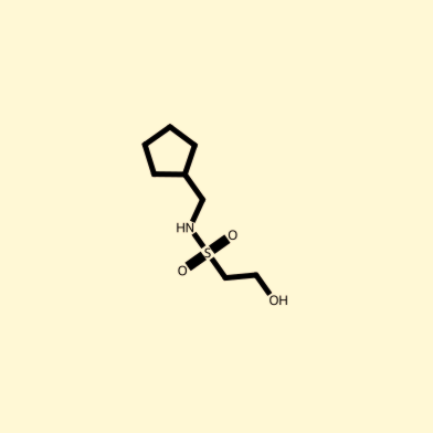 O=S(=O)(CCO)NCC1CCCC1